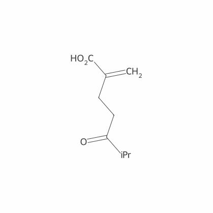 C=C(CCC(=O)C(C)C)C(=O)O